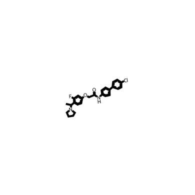 CC(c1ccc(OCC(=O)Nc2ccc(-c3ccc(Cl)cc3)cc2)cc1F)N1CCCC1